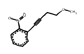 COCCC#Cc1ccccc1[N+](=O)[O-]